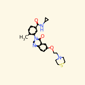 Cc1ccc(C(=O)NC2CC2)cc1-n1cnc2ccc(OCCN3CCSCC3)cc2c1=O